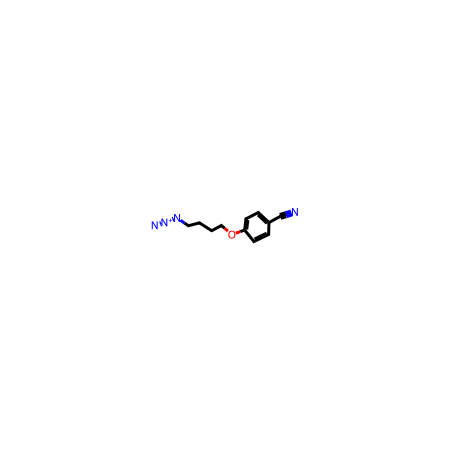 N#Cc1ccc(OCCCCN=[N+]=[N-])cc1